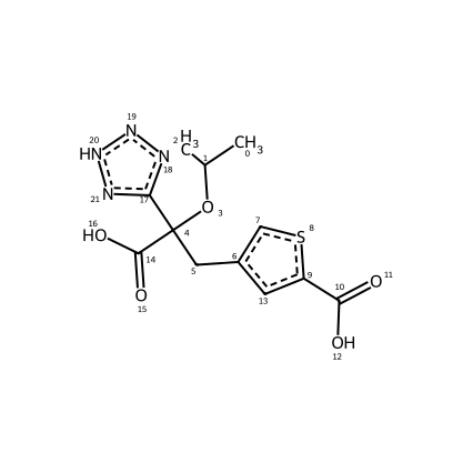 CC(C)OC(Cc1csc(C(=O)O)c1)(C(=O)O)c1nn[nH]n1